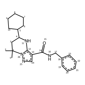 CC1(C)CC(C2CCCCC2)Nc2c(C(=O)NCc3ccccc3)cnn21